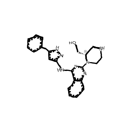 OC[C@@H]1CNCCN1c1nc(Nc2cc(-c3ccccc3)[nH]n2)c2ccccc2n1